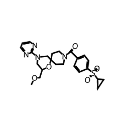 COCC1CN(c2ncccn2)CC2(CCN(C(=O)c3ccc(S(=O)(=O)C4CC4)cc3)CC2)O1